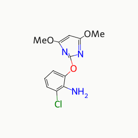 COc1cc(OC)nc(Oc2cccc(Cl)c2N)n1